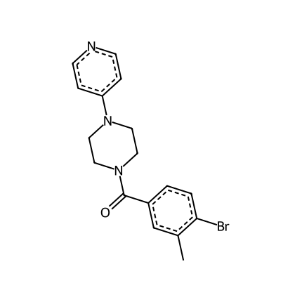 Cc1cc(C(=O)N2CCN(c3ccncc3)CC2)ccc1Br